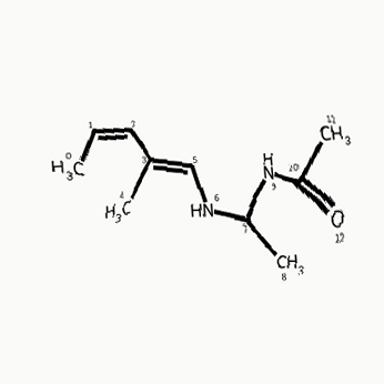 C/C=C\C(C)=C\NC(C)NC(C)=O